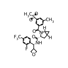 Cc1cc(C(=O)N2[C@@H](C(=O)N[C@@H](c3ccc(C(F)(F)F)cc3F)C3COC3)C[C@H]3C[C@H]32)cc(S(C)(=O)=O)c1